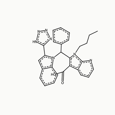 CCCCn1c(C(c2ccccc2)n2c(-c3nnn[nH]3)cc3ccccc32)c(C(=O)O)c2cccnc21